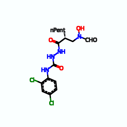 CCCCC[C@H](CN(O)C=O)C(=O)NNC(=O)Nc1ccc(Cl)cc1Cl